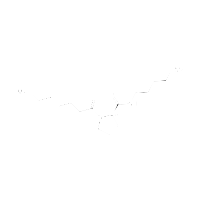 COCCCCCC(=O)N1CCC[C@@H]1C(=O)NCCCCOC